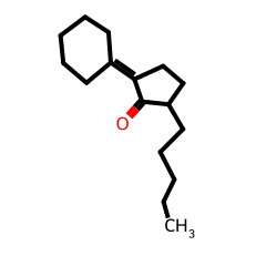 CCCCCC1CCC(=C2CCCCC2)C1=O